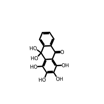 O=C1c2ccccc2C(O)(O)c2c(O)c(O)c(O)c(O)c21